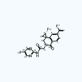 C=C(F)c1ccc2c(c1)[C@]1(C[C@@H]1F)CN(CC(=O)Nc1ncc(F)cn1)C2=O